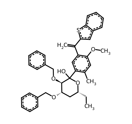 C=C(c1cc2ccccc2s1)c1cc(C2(O)O[C@H](CC)C[C@H](OCc3ccccc3)[C@H]2OCc2ccccc2)c(C)cc1OC